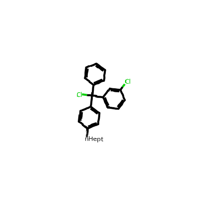 CCCCCCCc1ccc(C(Cl)(c2ccccc2)c2cccc(Cl)c2)cc1